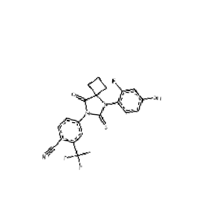 N#Cc1ccc(N2C(=O)C3(CCC3)N(c3ccc(O)cc3F)C2=S)cc1C(F)(F)F